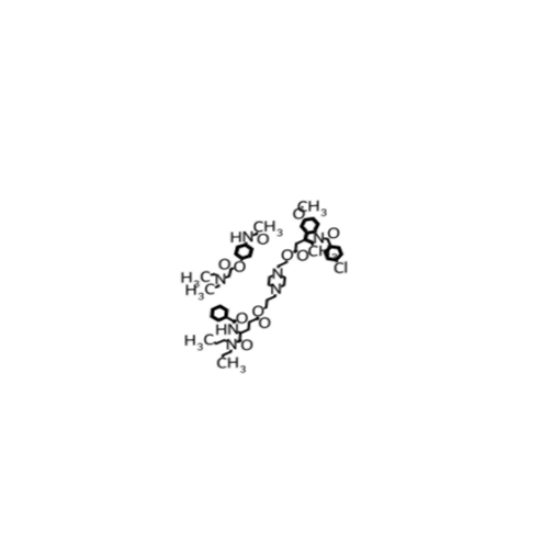 CCCN(CCC)C(=O)C(CCC(=O)OCCCN1CCN(CCOC(=O)Cc2c(C)n(C(=O)c3ccc(Cl)cc3)c3ccc(OC)cc23)CC1)NC(=O)c1ccccc1.CCN(CC)CC(=O)Oc1ccc(NC(C)=O)cc1